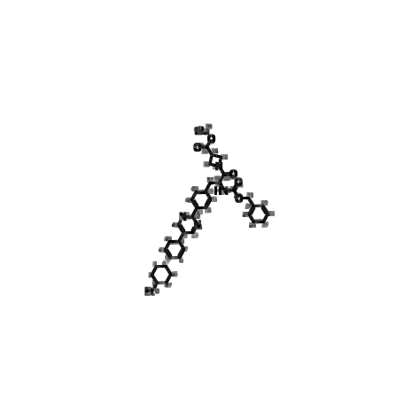 CC[C@H]1CC[C@H](c2ccc(-c3cnc(-c4ccc(C[C@H](NC(=O)OCc5ccccc5)C(=O)N5CC(C(=O)OC(C)(C)C)C5)cc4)nc3)cc2)CC1